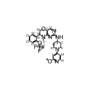 COc1cc(N2CCC(Nc3ncc4c(n3)N(C)C(c3ccccc3OC(F)(F)F)CO4)CC2)ccn1